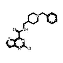 O=C(NCC1CCN(Cc2ccccc2)CC1)c1nc(Cl)nc2ccsc12